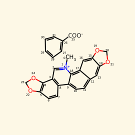 C[n+]1cc2c3c(ccc2c2ccc4cc5c(cc4c21)OCO5)OCO3.O=C([O-])c1ccccc1